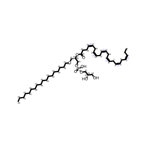 CC/C=C\C/C=C\C/C=C\C/C=C\C/C=C\C/C=C\CCC(=O)O[C@H](COCCCCCCCCCCCCCCCCCC)COP(=O)(O)OC[C@@H](O)CO